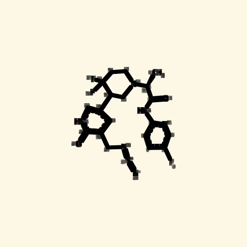 C[C@@H](C(=O)Nc1ccc(F)cn1)N1CCC(F)(F)C(c2c[nH]c(=O)c(CN=[N+]=[N-])c2)C1